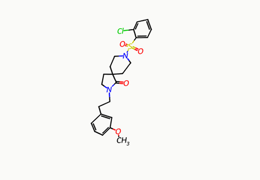 COc1cccc(CCN2CCC3(CCN(S(=O)(=O)c4ccccc4Cl)CC3)C2=O)c1